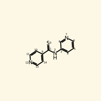 S=C(Nc1cccnc1)c1ccncc1